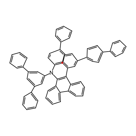 c1ccc(-c2ccc(-c3cccc(-c4c(N(c5ccc(-c6ccccc6)cc5)c5cc(-c6ccccc6)cc(-c6ccccc6)c5)c5ccccc5c5ccccc45)c3)cc2)cc1